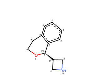 c1ccc2c(c1)CCO[C@@H]2C1CNC1